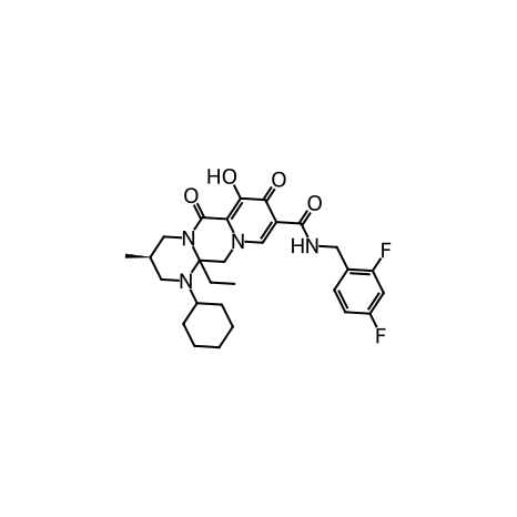 CCC12Cn3cc(C(=O)NCc4ccc(F)cc4F)c(=O)c(O)c3C(=O)N1C[C@H](C)CN2C1CCCCC1